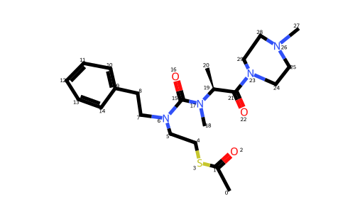 CC(=O)SCCN(CCc1ccccc1)C(=O)N(C)[C@@H](C)C(=O)N1CCN(C)CC1